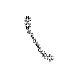 c1cc(-c2cc[n+](CCOCCOCCOCCOCCOCC[n+]3ccc(-c4ccncc4)cc3)cc2)ccn1